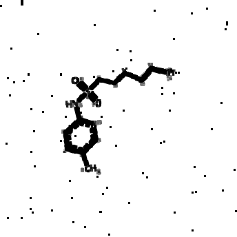 Cc1ccc(NS(=O)(=O)CCCCCC(C)C)nc1